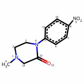 CN1CCN(c2ccc([N+](=O)[O-])cc2)C(=O)C1